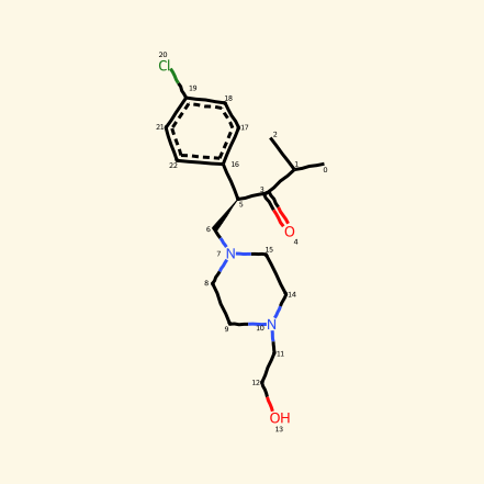 CC(C)C(=O)[C@@H](CN1CCN(CCO)CC1)c1ccc(Cl)cc1